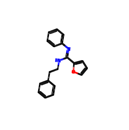 c1ccc(CCN/C(=N\c2ccccc2)c2ccco2)cc1